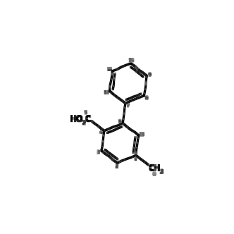 Cc1ccc(C(=O)O)c(-c2ccccc2)c1